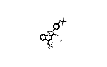 CS(=O)(=O)NC1=CC2=C(O)N(c3ccc(OC(F)(F)F)cc3)NN2c2ccccc21.O